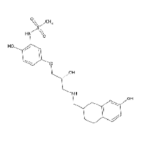 CS(=O)(=O)Nc1cc(OC[C@H](O)CNCC2CCc3ccc(O)cc3C2)ccc1O